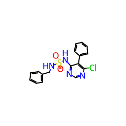 O=S(=O)(NCc1ccccc1)Nc1ncnc(Cl)c1-c1ccccc1